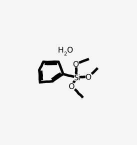 CO[Si](OC)(OC)c1ccccc1.O